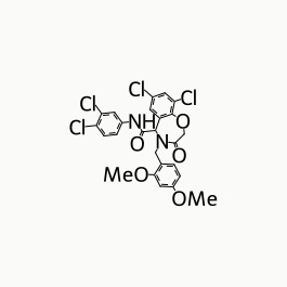 COc1ccc(CN2C(=O)COc3c(Cl)cc(Cl)cc3C2C(=O)Nc2ccc(Cl)c(Cl)c2)c(OC)c1